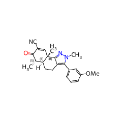 COc1cccc(-c2c3c(nn2C)[C@@]2(C)C=C(C#N)C(=O)[C@@H](C)[C@@H]2CC3)c1